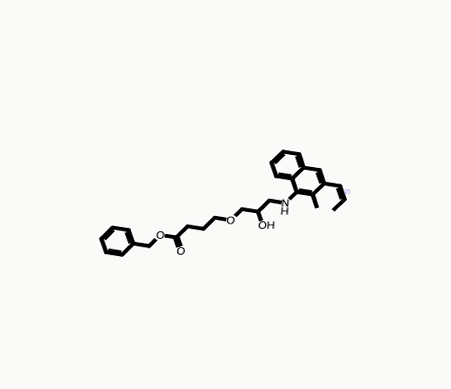 C/C=C\c1cc2ccccc2c(NCC(O)COCCCC(=O)OCc2ccccc2)c1C